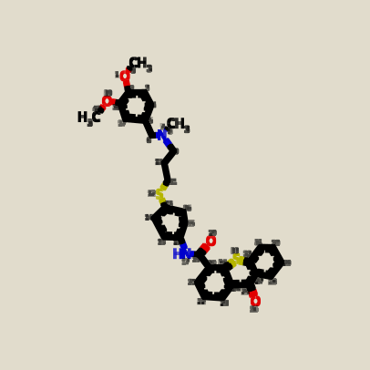 COc1ccc(CN(C)CCCSc2ccc(NC(=O)c3cccc4c(=O)c5ccccc5sc34)cc2)cc1OC